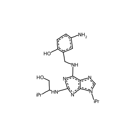 CC(C)C(CO)Nc1nc(NCc2cc(N)ccc2O)c2ncn(C(C)C)c2n1